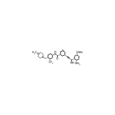 COc1ccc(N)c(C(=N)C#Cc2cncc(C(=O)Nc3ccc(CN4CCN(C)CC4)c(C(F)(F)F)c3)c2)c1